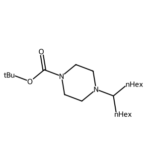 CCCCCCC(CCCCCC)N1CCN(C(=O)OC(C)(C)C)CC1